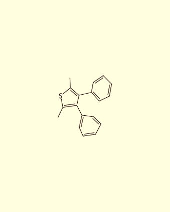 Cc1sc(C)c(-c2ccccc2)c1-c1ccccc1